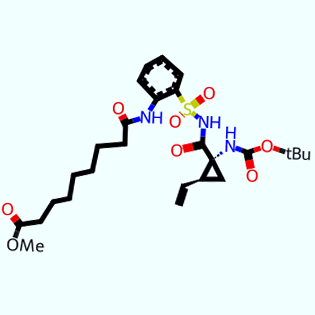 C=C[C@@H]1C[C@]1(NC(=O)OC(C)(C)C)C(=O)NS(=O)(=O)c1ccccc1NC(=O)CCCCCCCC(=O)OC